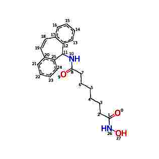 O=C(CCCCCCC(=O)NC1c2ccccc2C=Cc2ccccc21)NO